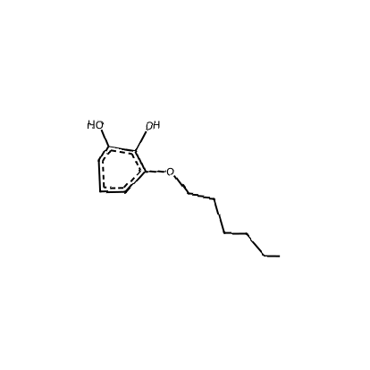 CCCCCCOc1cccc(O)c1O